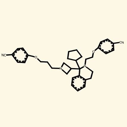 N#Cc1ccc(OCCCN2CC(C3(C4CCCC4)c4ccccc4CCN3CCOc3ccc(C#N)cc3)C2)cc1